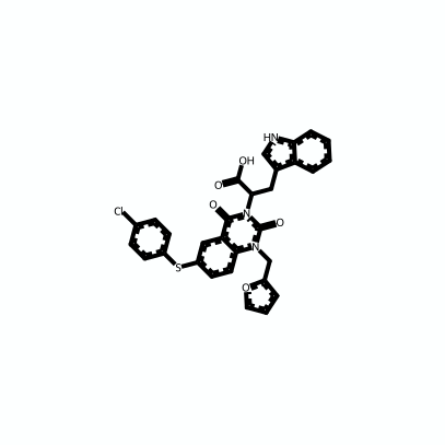 O=C(O)C(Cc1c[nH]c2ccccc12)n1c(=O)c2cc(Sc3ccc(Cl)cc3)ccc2n(Cc2ccco2)c1=O